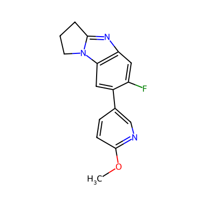 COc1ccc(-c2cc3c(cc2F)nc2n3CCC2)cn1